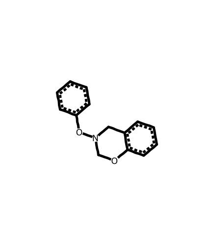 c1ccc(ON2COc3ccccc3C2)cc1